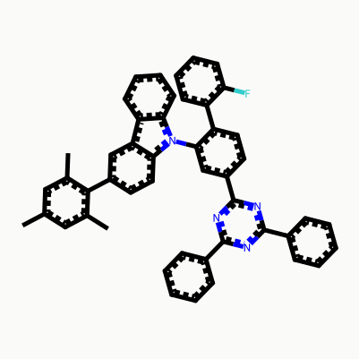 Cc1cc(C)c(-c2ccc3c(c2)c2ccccc2n3-c2cc(-c3nc(-c4ccccc4)nc(-c4ccccc4)n3)ccc2-c2ccccc2F)c(C)c1